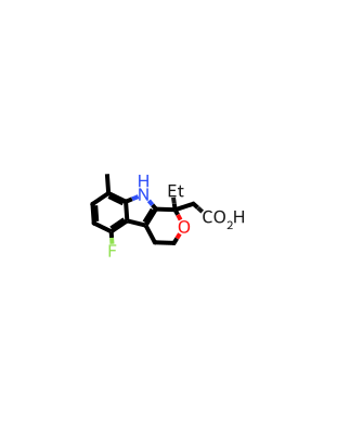 CCC1(CC(=O)O)OCCc2c1[nH]c1c(C)ccc(F)c21